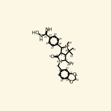 CC(C)C1C2C(C(=O)N1Cc1ccc3c(c1)OCO3)C(c1ccc(C(=N)NO)cc1)N(C)C2(C)C